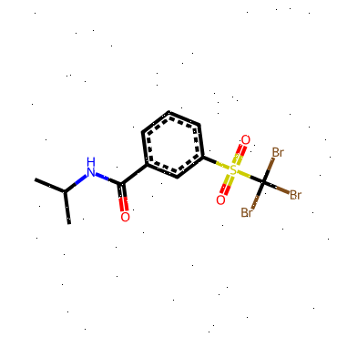 CC(C)NC(=O)c1cccc(S(=O)(=O)C(Br)(Br)Br)c1